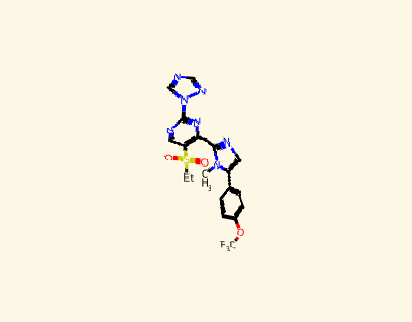 CCS(=O)(=O)c1cnc(-n2cncn2)nc1-c1ncc(-c2ccc(OC(F)(F)F)cc2)n1C